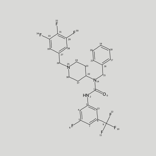 O=C(Nc1cc(F)cc(C(F)(F)F)c1)N(Cc1ccccc1)C1CCN(Cc2cc(F)c(F)c(F)c2)CC1